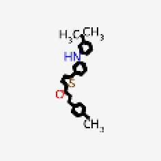 CCc1ccc(CCC(=O)c2ccc(-c3cccc(Nc4cccc(C(C)C)c4)c3)s2)cc1